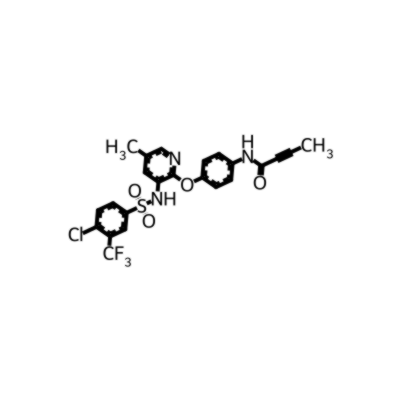 CC#CC(=O)Nc1ccc(Oc2ncc(C)cc2NS(=O)(=O)c2ccc(Cl)c(C(F)(F)F)c2)cc1